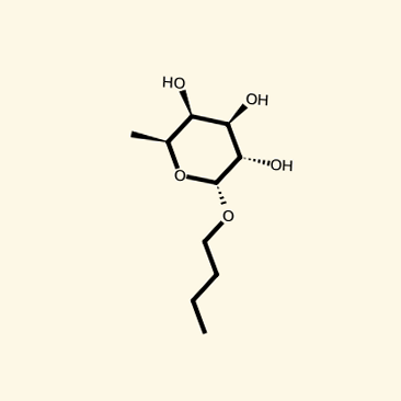 CCCCO[C@@H]1O[C@@H](C)[C@@H](O)[C@@H](O)[C@@H]1O